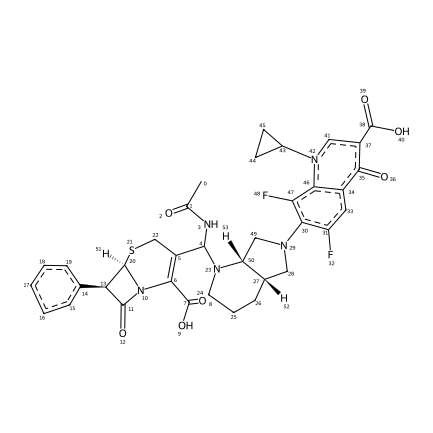 CC(=O)NC(C1=C(C(=O)O)N2C(=O)[C@@H](c3ccccc3)[C@H]2SC1)N1CCC[C@H]2CN(c3c(F)cc4c(=O)c(C(=O)O)cn(C5CC5)c4c3F)C[C@H]21